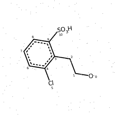 [O]CCc1c(Cl)cccc1S(=O)(=O)O